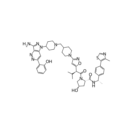 Cc1ncsc1-c1ccc([C@H](C)NC(=O)[C@@H]2C[C@@H](O)CN2C(=O)[C@H](c2cc(N3CCC(CN4CCC(n5nc(N)c6nnc(-c7ccccc7O)cc65)CC4)CC3)no2)C(C)C)cc1